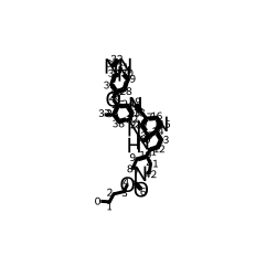 CCCCOC(=O)N1CC=C(c2ccc3ncc(C#N)c(Nc4ccc(Oc5ccn6ncnc6c5)c(C)c4)c3n2)CC1